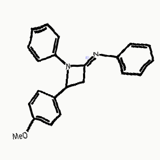 COc1ccc(C2C/C(=N\c3ccccc3)N2c2ccccc2)cc1